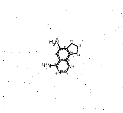 Nc1cc2c(N)ncnc2c2c1CCC2